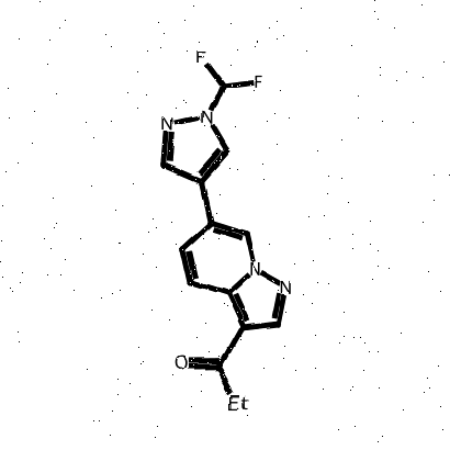 CCC(=O)c1cnn2cc(-c3cnn(C(F)F)c3)ccc12